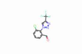 O=Cc1cccc(Cl)c1-n1cc(C(F)(F)F)nn1